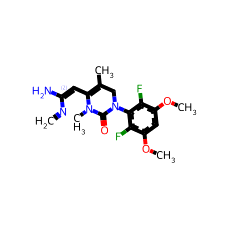 C=N/C(N)=C\C1=C(C)CN(c2c(F)c(OC)cc(OC)c2F)C(=O)N1C